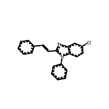 Clc1ccc2c(c1)nc(/C=C/c1ccccc1)n2-c1ccccc1